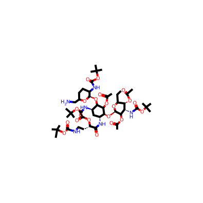 CCC1O[C@H](O[C@@H]2C(OC(C)=O)C(O[C@H]3OC(CN)CCC3NC(=O)OC(C)(C)C)[C@H](NC(=O)OC(C)(C)C)C[C@H]2NC(=O)[C@H](CCNC(=O)OC(C)(C)C)OC(C)=O)C(OC(C)=O)[C@@H](NC(=O)OC(C)(C)C)[C@H]1OC(C)=O